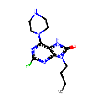 N#CCCCn1c(=O)[nH]c2c(N3CCNCC3)nc(Cl)nc21